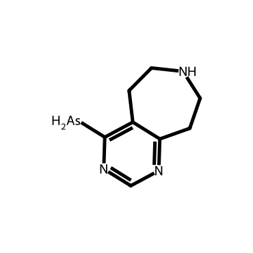 [AsH2]c1ncnc2c1CCNCC2